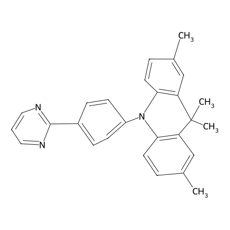 Cc1ccc2c(c1)C(C)(C)c1cc(C)ccc1N2c1ccc(-c2ncccn2)cc1